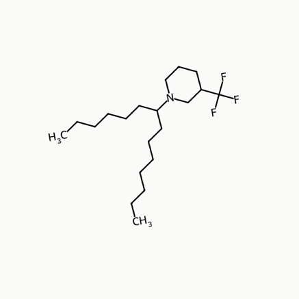 CCCCCCCC(CCCCCC)N1CCCC(C(F)(F)F)C1